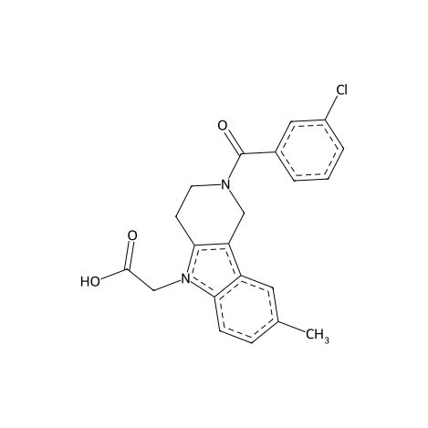 Cc1ccc2c(c1)c1c(n2CC(=O)O)CCN(C(=O)c2cccc(Cl)c2)C1